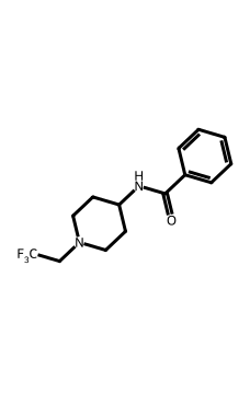 O=C(NC1CCN(CC(F)(F)F)CC1)c1ccccc1